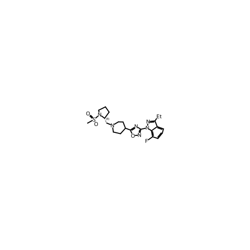 CCc1nn(-c2noc(C3CCN(C[C@H]4CCCN4S(C)(=O)=O)CC3)n2)c2c(F)cccc12